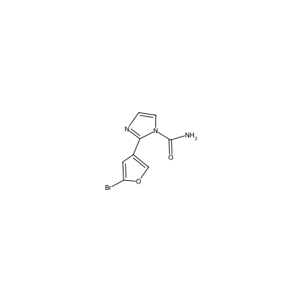 NC(=O)n1ccnc1-c1coc(Br)c1